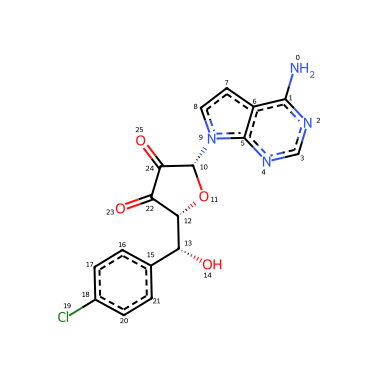 Nc1ncnc2c1ccn2[C@@H]1O[C@H]([C@H](O)c2ccc(Cl)cc2)C(=O)C1=O